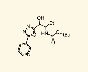 CCC(NC(=O)OC(C)(C)C)C(O)c1nnc(-c2cccnc2)o1